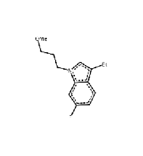 CCc1cn(CCCOC)c2cc(F)ccc12